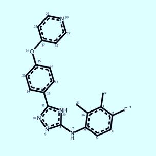 Cc1c(F)ccc(Nc2nnc(-c3ccc(Oc4ccncc4)cc3)[nH]2)c1C